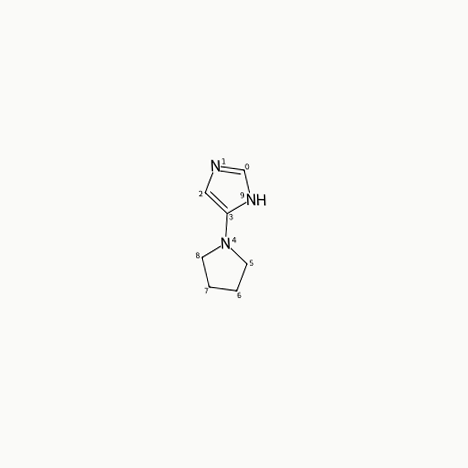 c1ncc(N2CCCC2)[nH]1